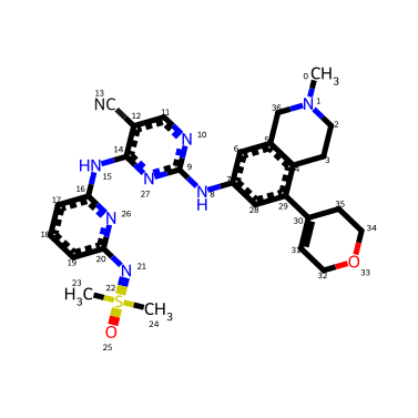 CN1CCc2c(cc(Nc3ncc(C#N)c(Nc4cccc(N=S(C)(C)=O)n4)n3)cc2C2=CCOCC2)C1